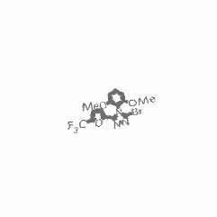 COc1cccc(OC)c1-n1c(Br)nnc1-c1ccc(C(F)(F)F)o1